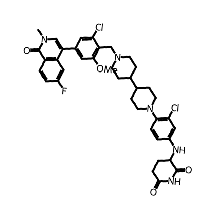 COc1cc(-c2cn(C)c(=O)c3ccc(F)cc23)cc(Cl)c1CN1CCC(C2CCN(c3ccc(NC4CCC(=O)NC4=O)cc3Cl)CC2)CC1